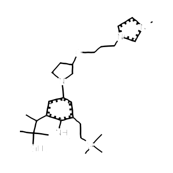 CC(c1cc(N2CCC(OCCCn3cc[n+](C)c3)C2)cc(CC[Si](C)(C)C)c1N)C(C)(C)[SiH3]